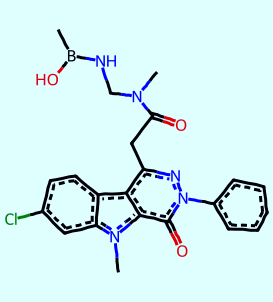 CB(O)NCN(C)C(=O)Cc1nn(-c2ccccc2)c(=O)c2c1c1ccc(Cl)cc1n2C